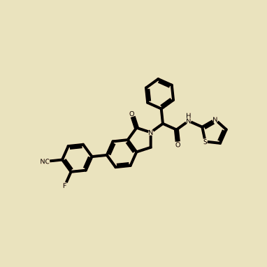 N#Cc1ccc(-c2ccc3c(c2)C(=O)N(C(C(=O)Nc2nccs2)c2ccccc2)C3)cc1F